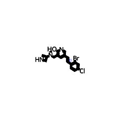 CN(Cc1cc(/C=C/c2ccc(Cl)cc2Br)cnc1O)C1CNC1